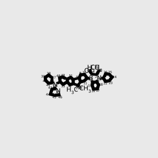 C/C=C1\C2=C(C)Oc3cc4c(cc3B2c2ccccc2N1c1ccccc1)C(C)(C)c1cc2cc(N(c3ccccc3)c3ccccn3)ccc2cc1-4